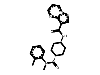 Cc1ccccc1N(C)C(=O)[C@H]1CC[C@H](NC(=O)c2cnn3cccnc23)CC1